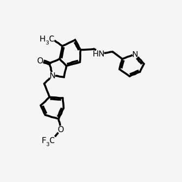 Cc1cc(CNCc2ccccn2)cc2c1C(=O)N(Cc1ccc(OC(F)(F)F)cc1)C2